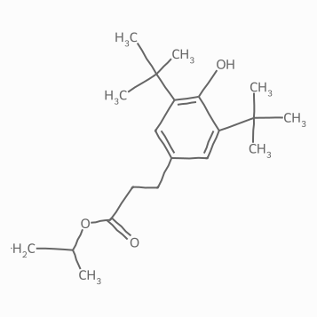 [CH2]C(C)OC(=O)CCc1cc(C(C)(C)C)c(O)c(C(C)(C)C)c1